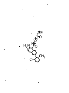 Cc1cccc(Cl)c1-c1ccc2c(C(=O)NC3CN(C(=O)OC(C)(C)C)C3)c(N)ncc2c1